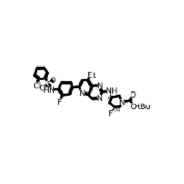 CCc1cc(-c2ccc(NS(=O)(=O)c3ccccc3Cl)c(F)c2)nc2cnc(N[C@H]3C[C@H](F)CN(C(=O)OC(C)(C)C)C3)nc12